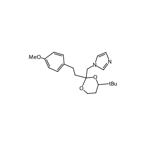 COc1ccc(CCC2(Cn3ccnc3)OCCC(C(C)(C)C)O2)cc1